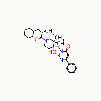 C[C@H](CC1CCCCC1)C(=O)N1CC[C@](O)(Cn2cnc(-c3ccccc3)cc2=O)C(C)(C)C1